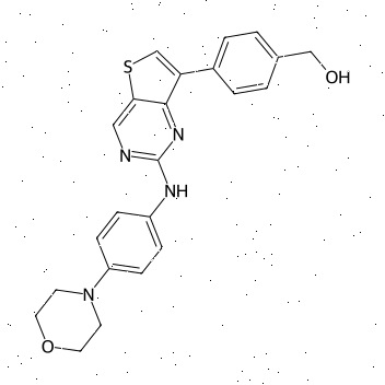 OCc1ccc(-c2csc3cnc(Nc4ccc(N5CCOCC5)cc4)nc23)cc1